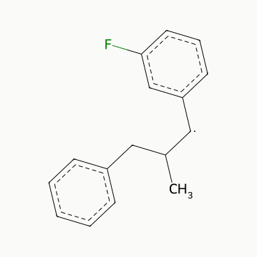 CC([CH]c1cccc(F)c1)Cc1ccccc1